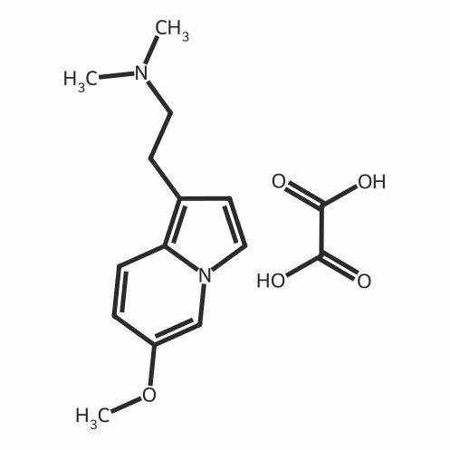 COc1ccc2c(CCN(C)C)ccn2c1.O=C(O)C(=O)O